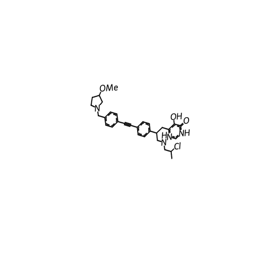 COC1CCN(Cc2ccc(C#Cc3ccc(C(CNCC(C)Cl)Cc4nc[nH]c(=O)c4O)cc3)cc2)C1